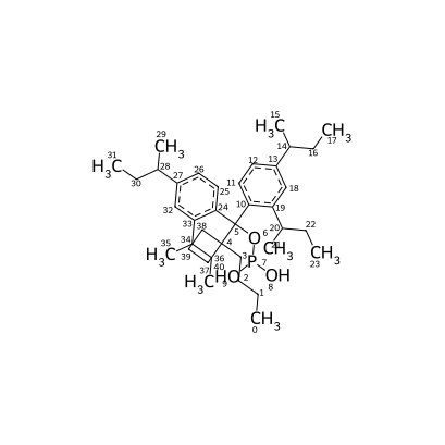 CCCCC1(C(OP(O)O)(c2ccc(C(C)CC)cc2C(C)CC)c2ccc(C(C)CC)cc2C(C)CC)CCC1